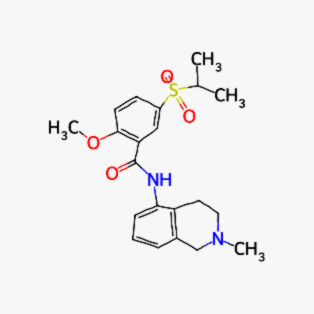 COc1ccc(S(=O)(=O)C(C)C)cc1C(=O)Nc1cccc2c1CCN(C)C2